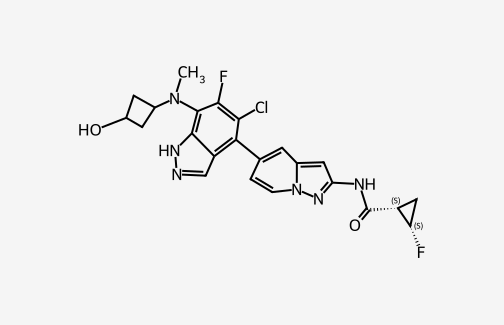 CN(c1c(F)c(Cl)c(-c2ccn3nc(NC(=O)[C@@H]4C[C@@H]4F)cc3c2)c2cn[nH]c12)C1CC(O)C1